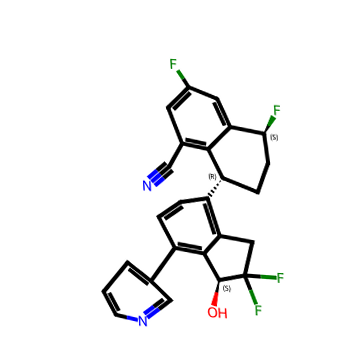 N#Cc1cc(F)cc2c1[C@@H](c1ccc(-c3cccnc3)c3c1CC(F)(F)[C@H]3O)CC[C@@H]2F